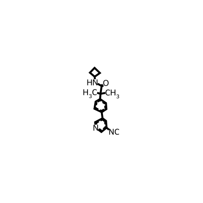 [C-]#[N+]c1cncc(-c2ccc(C(C)(C)C(=O)NC3CCC3)cc2)c1